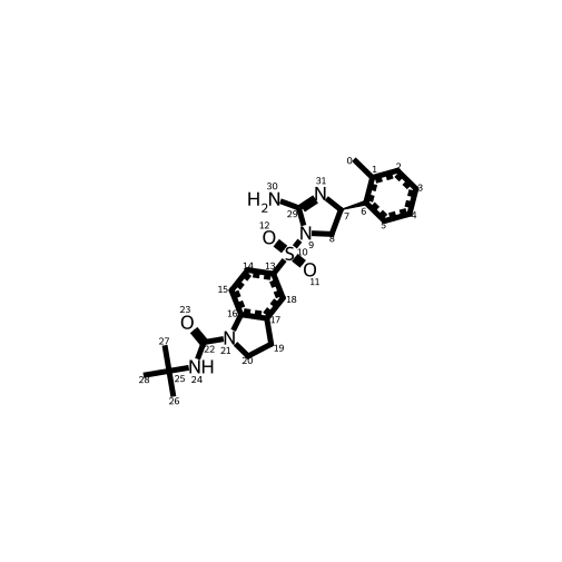 Cc1ccccc1[C@H]1CN(S(=O)(=O)c2ccc3c(c2)CCN3C(=O)NC(C)(C)C)C(N)=N1